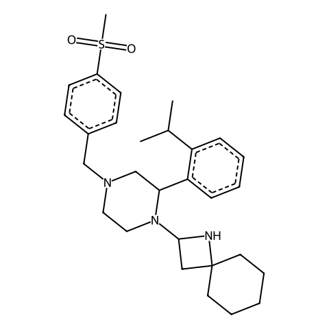 CC(C)c1ccccc1C1CN(Cc2ccc(S(C)(=O)=O)cc2)CCN1C1CC2(CCCCC2)N1